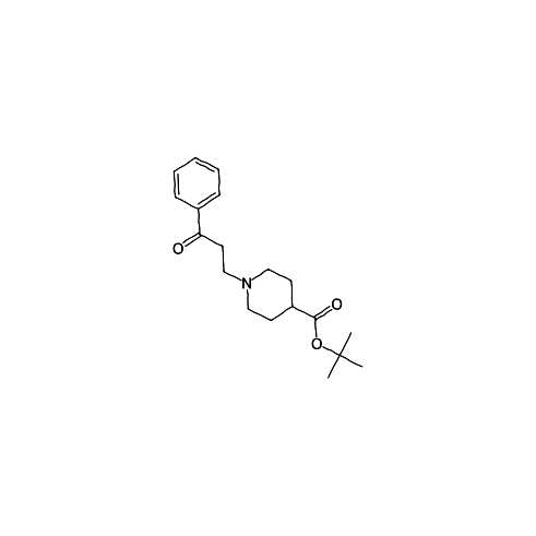 CC(C)(C)OC(=O)C1CCN(CCC(=O)c2ccccc2)CC1